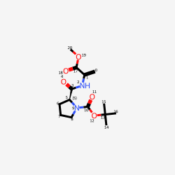 C=C(NC(=O)[C@@H]1CCCN1C(=O)OC(C)(C)C)C(=O)OC